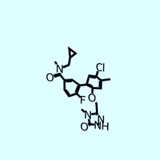 Cc1cc(OCc2n[nH]c(=O)n2C)c(-c2cc(C(=O)N(C)CC3CC3)ccc2F)cc1Cl